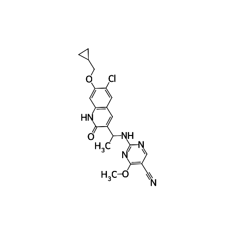 COc1nc(NC(C)c2cc3cc(Cl)c(OCC4CC4)cc3[nH]c2=O)ncc1C#N